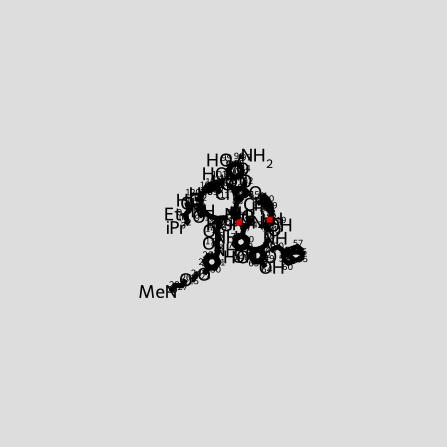 CC[C@H](CC(C)C)C(=O)N[C@H]1C(=O)C[C@@H](CC(=O)NC(=O)Nc2ccc(OCCOCCNC)cc2)C(=O)N[C@H]2C(=O)C[C@H]3C(=O)N[C@H](C(=O)N[C@H](C(=O)CC4C5CC6CC(C5)CC4C6)c4cc(O)cc(O)c4-c4cc3ccc4O)[C@H](O)c3ccc(c(Cl)c3)Oc3cc2cc(c3O[C@@H]2O[C@H](CN)[C@@H](O)[C@H](O)[C@H]2O)Oc2ccc(cc2Cl)[C@H]1O